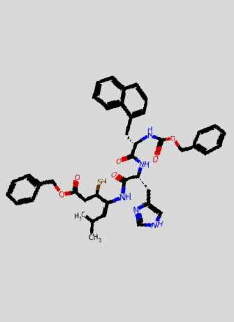 CC(C)CC(NC(=O)[C@@H](Cc1c[nH]cn1)NC(=O)[C@H](Cc1cccc2ccccc12)NC(=O)OCc1ccccc1)C(S)CC(=O)OCc1ccccc1